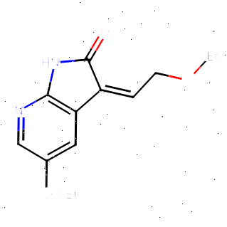 CCOC/C=C1\C(=O)Nc2ncc(C(=O)OCC)cc21